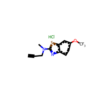 C#CCN(C)c1nc2ccc(OC(F)(F)F)cc2s1.Cl